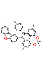 Cc1ccc(-[si]2c(-c3ccc4oc5ccc(C)cc5c4c3)c3cc(C)cc4c3c3c(cc(C)cc32)OC(C)(C)O4)cc1